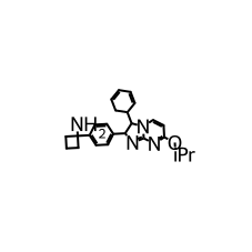 CC(C)OC1=NC2=NC(c3ccc(C4(N)CCC4)cc3)C(C3C=CC=CC3)N2C=C1